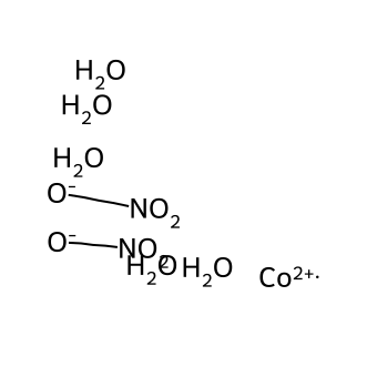 O.O.O.O.O.O=[N+]([O-])[O-].O=[N+]([O-])[O-].[Co+2]